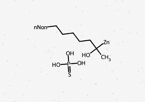 CCCCCCCCCCCCCC[C](C)(O)[Zn].OP(O)(O)=S